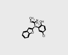 CN=C(N)N(c1cc2ccccc2o1)c1cc(Cl)ccc1O